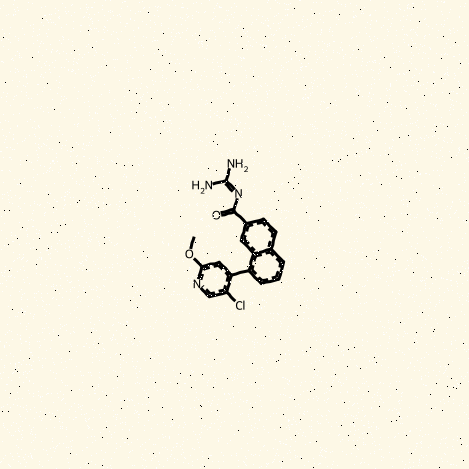 COc1cc(-c2cccc3ccc(C(=O)N=C(N)N)cc23)c(Cl)cn1